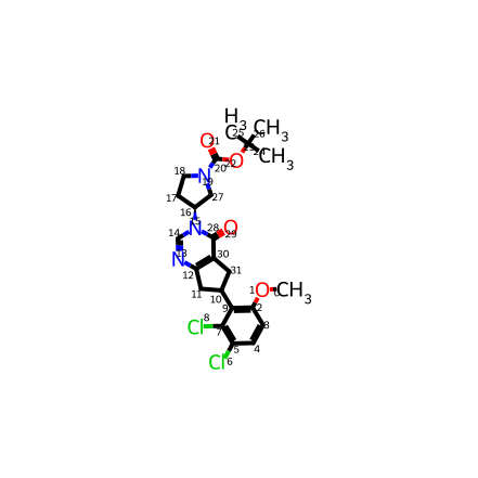 COc1ccc(Cl)c(Cl)c1C1Cc2ncn([C@H]3CCN(C(=O)OC(C)(C)C)C3)c(=O)c2C1